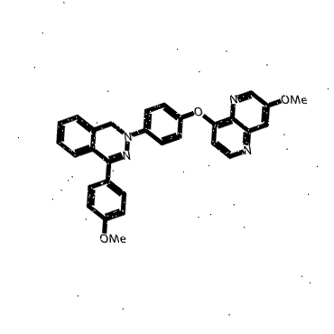 COc1ccc(C2=NN(c3ccc(Oc4ccnc5cc(OC)cnc45)cc3)Cc3ccccc32)cc1